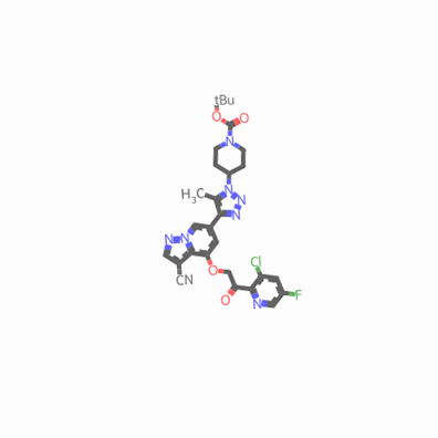 Cc1c(-c2cc(OCC(=O)c3ncc(F)cc3Cl)c3c(C#N)cnn3c2)nnn1C1CCN(C(=O)OC(C)(C)C)CC1